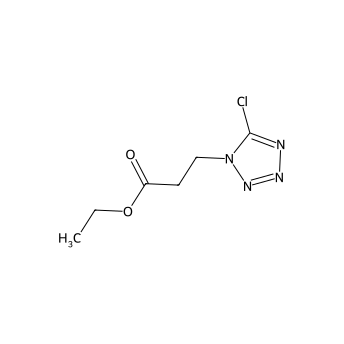 CCOC(=O)CCn1nnnc1Cl